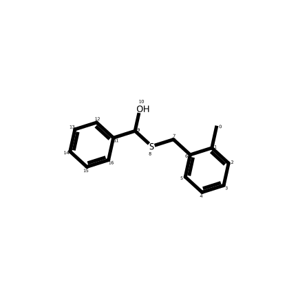 Cc1ccccc1CSC(O)c1ccccc1